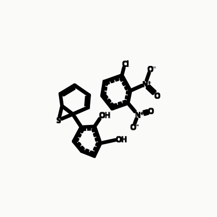 O=[N+]([O-])c1cccc(Cl)c1[N+](=O)[O-].Oc1cccc(C23C=CC=CC2S3)c1O